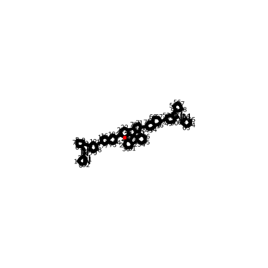 c1ccc(-n2c3ccccc3c3cc(-c4ccc5cc(-c6ccc7c(c6)C6(c8ccccc8-c8ccccc86)c6cc(-c8ccc9cc(-c%10ccc%11c(c%10)c%10ccccc%10n%11-c%10ccccn%10)ccc9c8)ccc6-7)ccc5c4)ccc32)nc1